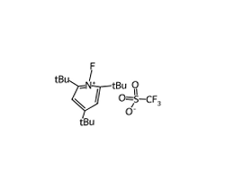 CC(C)(C)c1cc(C(C)(C)C)[n+](F)c(C(C)(C)C)c1.O=S(=O)([O-])C(F)(F)F